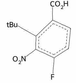 CC(C)(C)c1c(C(=O)O)ccc(F)c1[N+](=O)[O-]